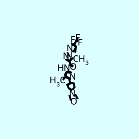 Cc1cc(NC(=O)c2cnn(-c3ccc(C(F)(F)F)cn3)c2C)cnc1C1=CCC(N2CCOCC2)CC1